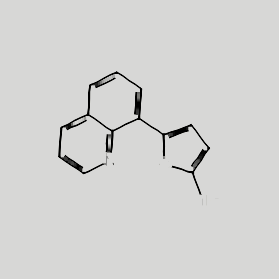 CC(C)c1ccc(-c2cccc3cccnc23)o1